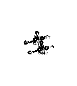 CCCN1CCC(Nc2nc(N3CCCCC3)nc3cc(C#CCCN4CCCC4)c(OC)cc23)CC1.CCCN1CCC(Nc2nc(N3CCCCC3)nc3cc(C#CCCN4CCCC4)c(OC)cc23)CC1